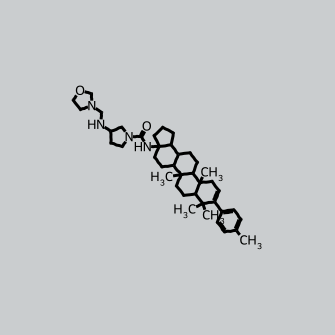 Cc1ccc(C2=CCC3(C)C(CCC4(C)C5CCC6(NC(=O)N7CCC(NCN8CCOC8)C7)CCCC6C5CCC43)C2(C)C)cc1